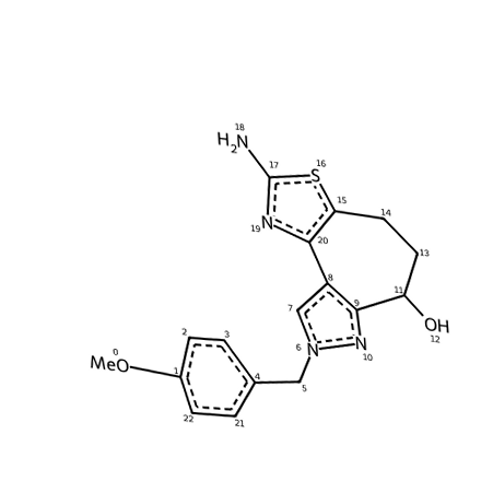 COc1ccc(Cn2cc3c(n2)C(O)CCc2sc(N)nc2-3)cc1